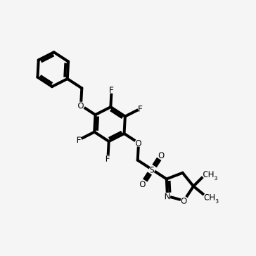 CC1(C)CC(S(=O)(=O)COc2c(F)c(F)c(OCc3ccccc3)c(F)c2F)=NO1